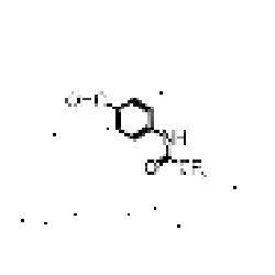 O=Cc1ccc(NC(=O)C(F)(F)F)cc1